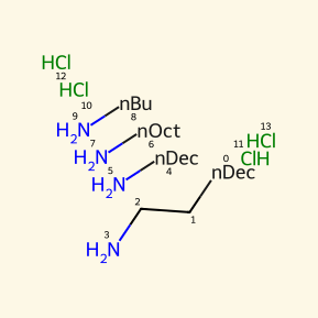 CCCCCCCCCCCCN.CCCCCCCCCCN.CCCCCCCCN.CCCCN.Cl.Cl.Cl.Cl